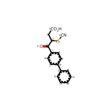 N#CSC(CC(=O)O)C(=O)c1ccc(-c2ccccc2)cc1